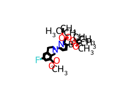 COC(=O)c1cc(F)cc2c1CN(c1ccc(B3OC(C)(C)C(C)(C)O3)c(C(=O)OC(C)(C)C)n1)CC2